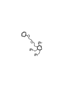 C[C](C)c1ccc(CC(C)C)c(CC(C)C)c1CCOCCOc1ccccc1